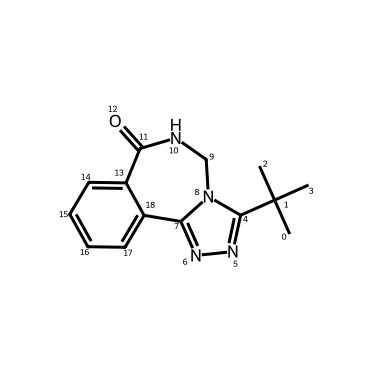 CC(C)(C)c1nnc2n1CNC(=O)c1ccccc1-2